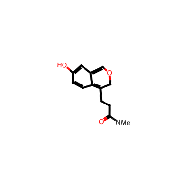 CNC(=O)CCC1=c2ccc(O)cc2=COC1